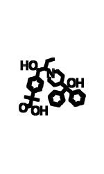 CCC(C(O)c1ccc(C(C)(C)C(=O)O)cc1)N1CCC(C(O)(c2ccccc2)c2ccccc2)CC1